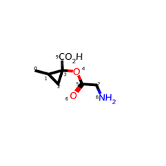 CC1CC1(OC(=O)CN)C(=O)O